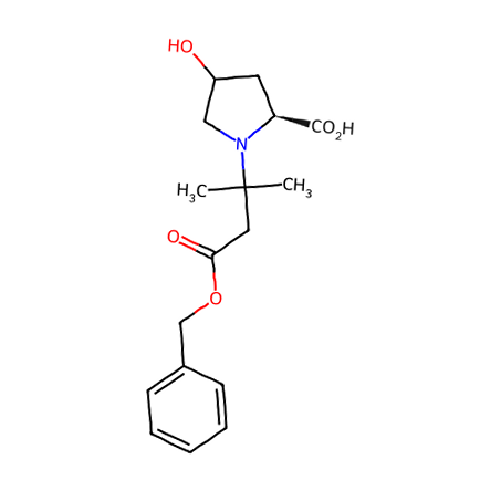 CC(C)(CC(=O)OCc1ccccc1)N1CC(O)C[C@H]1C(=O)O